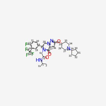 CC(C)NC(=O)Cn1c(-c2ccc(F)c(C(F)(F)F)c2)cn2nc(OC3CCN(C4CCCC4)CC3)cc2c1=O